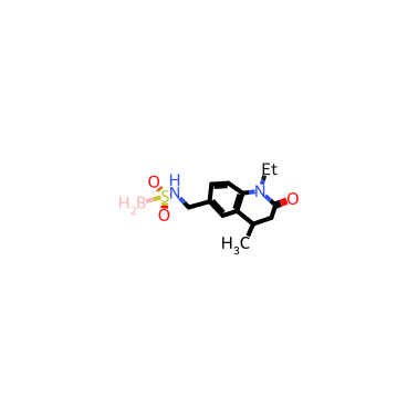 BS(=O)(=O)NCc1ccc2c(c1)C(C)CC(=O)N2CC